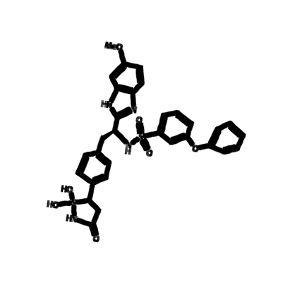 COc1ccc2nc([C@H](Cc3ccc(C4CC(=O)NS4(O)O)cc3)NS(=O)(=O)c3cccc(Oc4ccccc4)c3)[nH]c2c1